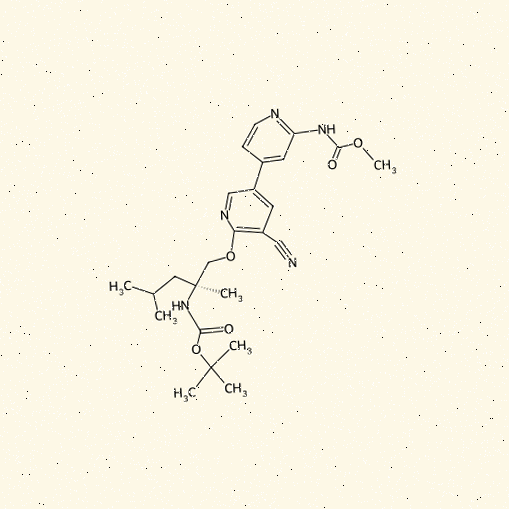 COC(=O)Nc1cc(-c2cnc(OC[C@](C)(CC(C)C)NC(=O)OC(C)(C)C)c(C#N)c2)ccn1